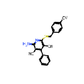 N#Cc1ccc(CSc2nc(N)c(C#N)c(-c3ccccc3)c2C#N)cc1